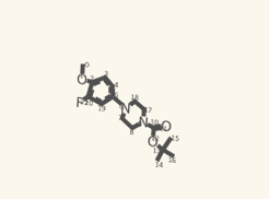 COc1ccc(N2CCN(C(=O)OC(C)(C)C)CC2)cc1F